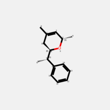 CC1=C[C@H](C)O[C@@H]([C@@H](C)c2ccccc2)C1